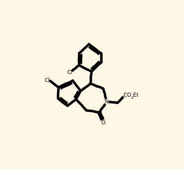 CCOC(=O)CN1CC(c2ccccc2Cl)c2cc(Cl)ccc2CC1=O